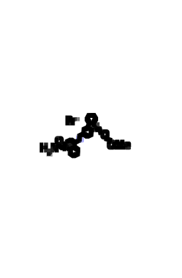 COCCOCCn1c2ccccc2c2cc(/C=C/c3cc[n+](CC(N)=O)c4ccccc34)ccc21.[Br-]